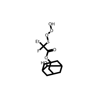 CCC(F)(SOOO)C(=O)OC12CC3CC(C1)C(O)C(C3)C2